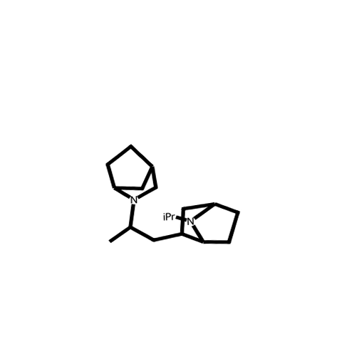 CC(CC1CC2CCC1N2C(C)C)N1CC2CCC1C2